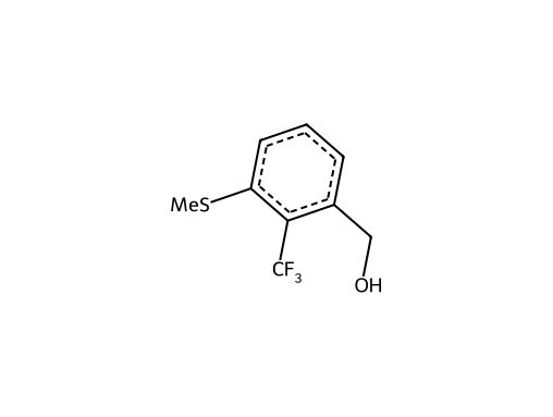 CSc1cccc(CO)c1C(F)(F)F